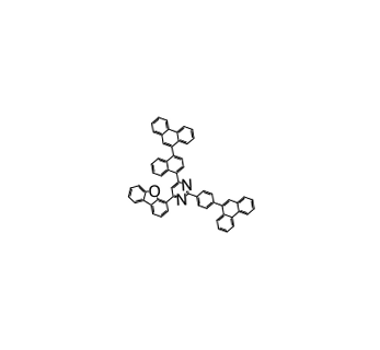 c1ccc2c(c1)cc(-c1ccc(-c3nc(-c4ccc(-c5cc6ccccc6c6ccccc56)c5ccccc45)cc(-c4cccc5c4oc4ccccc45)n3)cc1)c1ccccc12